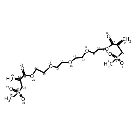 C=C(CS(C)(=O)=O)C(=O)OCCOCCOCCOCCOC(=O)C(=C)CS(C)(=O)=O